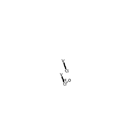 O.[Cl][V].[Cl][V]